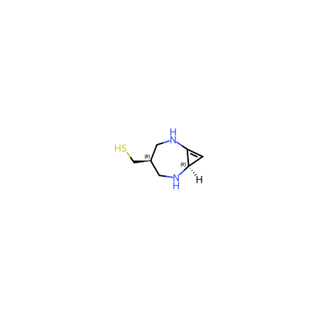 SC[C@H]1CNC2=C[C@H]2NC1